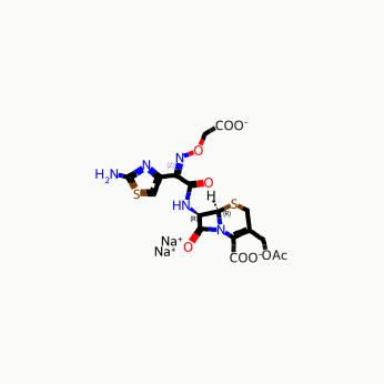 CC(=O)OCC1=C(C(=O)[O-])N2C(=O)[C@@H](NC(=O)/C(=N\OCC(=O)[O-])c3csc(N)n3)[C@H]2SC1.[Na+].[Na+]